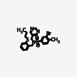 CCCSc1ccccc1CN(Cc1cncnc1)S(=O)(=O)c1ccc(C)c(Br)c1